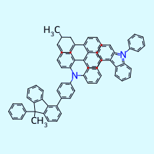 CC1C=CC=C(c2cccc3cccc(-c4ccccc4N(c4ccc(-c5cccc6c5-c5ccccc5C6(C)c5ccccc5)cc4)c4cccc(-c5cccc6c5c5ccccc5n6-c5ccccc5)c4)c23)C1